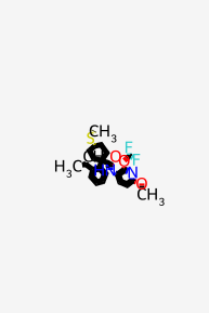 COc1ccc(NC(=O)C2(c3ccccc3C(C)C)CCC(SC)CC2)c(OC(F)F)n1